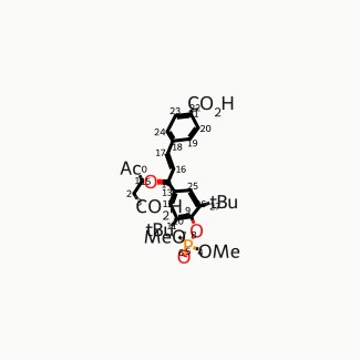 CC(=O)CCC(=O)O.COP(=O)(OC)Oc1c(C(C)(C)C)cc(C(=O)C=Cc2ccc(C(=O)O)cc2)cc1C(C)(C)C